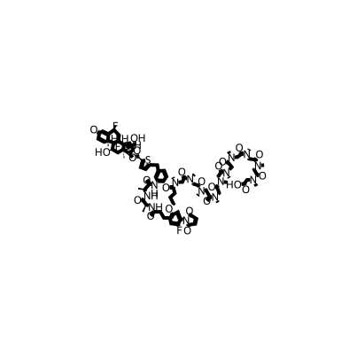 C[C@H](NC(=O)CCc1cc(F)c(N2C(=O)C=CC2=O)cc1OCCCC(=O)N(C)CC(=O)N(C)CC(=O)N(C)CC(=O)N(C)CC(=O)N(C)CC(=O)N(C)CC(=O)N(C)CC(=O)N(C)CC(=O)N(C)CC(=O)N(C)CC(=O)O)C(=O)N[C@@H](C)C(=O)Nc1cccc(Cc2ccc([C@@H]3O[C@@H]4C[C@H]5[C@@H]6C[C@H](F)C7=CC(=O)C=C[C@]7(C)[C@@]6(F)[C@@H](O)C[C@]5(C)[C@]4(C(=O)CO)O3)s2)c1